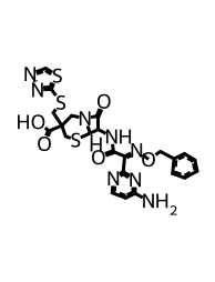 Nc1ccnc(C(=NOCc2ccccc2)C(=O)NC2C(=O)N3CC(CSc4nncs4)(C(=O)O)CS[C@H]23)n1